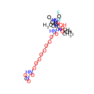 CC(C)(C)OC(=O)N1CC(CN(C(=O)CO)[C@@H](c2nc(-c3cc(F)ccc3F)cn2Cc2ccccc2)C(C)(C)C)C(NC(=O)CCOCCOCCOCCOCCOCCOCCOCCOCCNC(=O)CCN2C(=O)C=CC2=O)C1